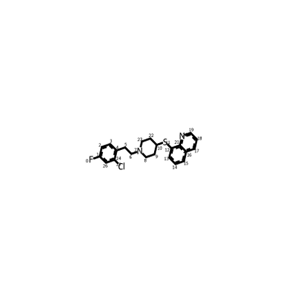 Fc1ccc(CCN2CCC(Sc3cccc4cccnc34)CC2)c(Cl)c1